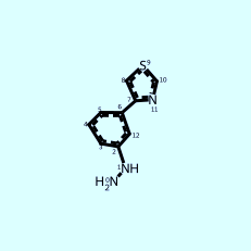 NNc1cccc(-c2cscn2)c1